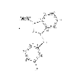 CN[C@H]1C[C@@H](Cc2cccc(F)c2)c2ccccc21